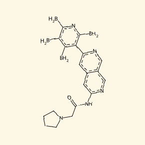 Bc1nc(B)c(-c2cc3cc(NC(=O)CN4CCCC4)ncc3cn2)c(B)c1B